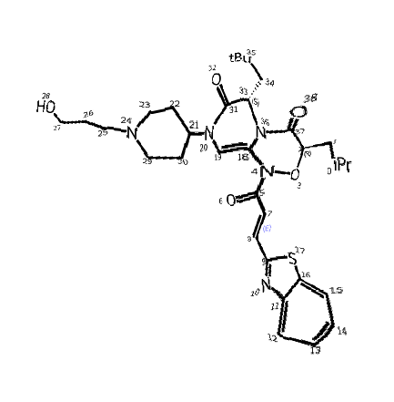 CC(C)C[C@H]1ON(C(=O)/C=C/c2nc3ccccc3s2)C2=CN(C3CCN(CCCO)CC3)C(=O)[C@H](CC(C)(C)C)N2C1=O